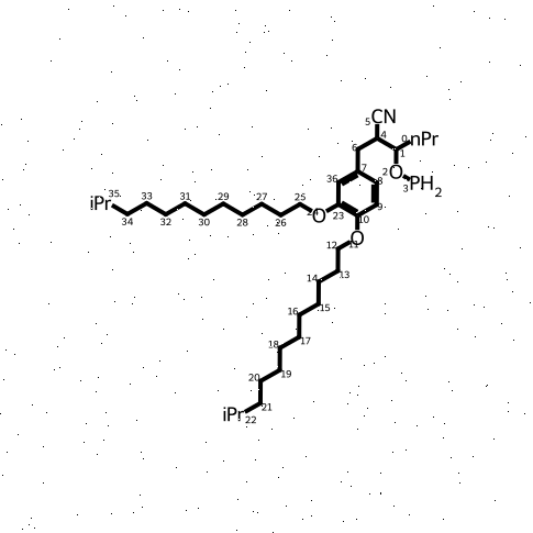 CCCC(OP)C(C#N)Cc1ccc(OCCCCCCCCCCC(C)C)c(OCCCCCCCCCCC(C)C)c1